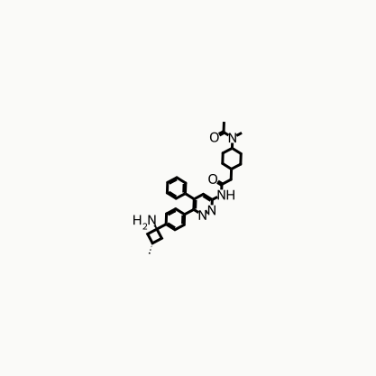 CC(=O)N(C)C1CCC(CC(=O)Nc2cc(-c3ccccc3)c(-c3ccc([C@]4(N)C[C@H](C)C4)cc3)nn2)CC1